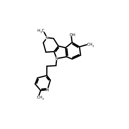 Cc1ccc(CCn2c3c(c4c(O)c(C)ccc42)CN(C)CC3)cn1